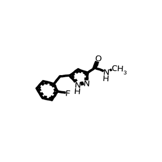 CNC(=O)c1cc(Cc2ccccc2F)[nH]n1